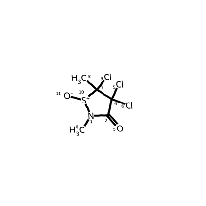 CN1C(=O)C(Cl)(Cl)C(C)(Cl)[S+]1[O-]